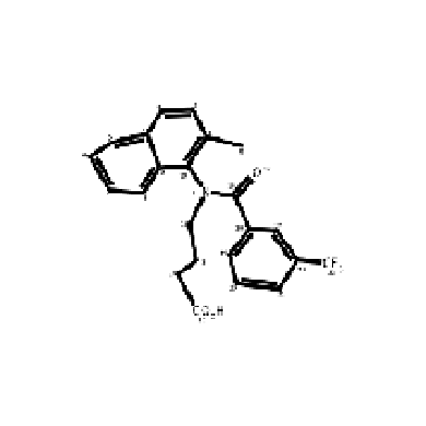 Cc1ccc2ccccc2c1N(CCCC(=O)O)C(=O)c1cccc(C(F)(F)F)c1